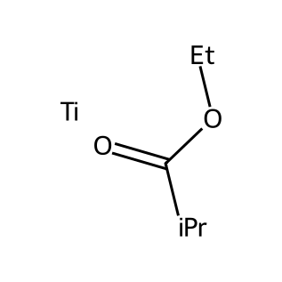 CCOC(=O)C(C)C.[Ti]